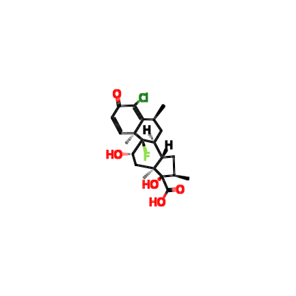 C[C@@H]1C[C@H]2[C@@H]3C[C@H](C)C4=C(Cl)C(=O)C=C[C@]4(C)[C@@]3(F)[C@@H](O)C[C@]2(C)[C@@]1(O)C(=O)O